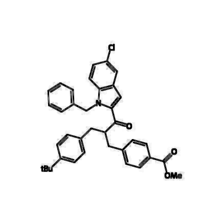 COC(=O)c1ccc(CC(Cc2ccc(C(C)(C)C)cc2)C(=O)c2cc3cc(Cl)ccc3n2Cc2ccccc2)cc1